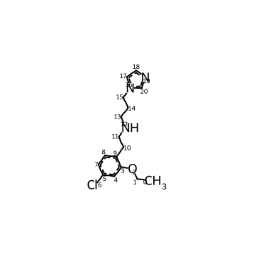 CCOc1cc(Cl)ccc1CCNCCCn1ccnc1